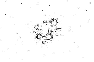 C[C@@H](C(=O)Nc1cc(-c2cnn3c2CC(C)(C)C3)c(Cl)cn1)c1ccnc(C#N)c1